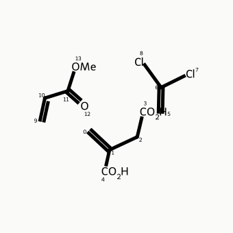 C=C(CC(=O)O)C(=O)O.C=C(Cl)Cl.C=CC(=O)OC